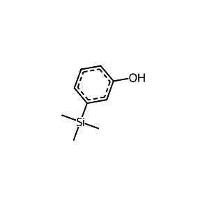 C[Si](C)(C)c1cccc(O)c1